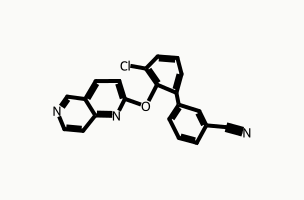 N#Cc1cccc(-c2cccc(Cl)c2Oc2ccc3cnccc3n2)c1